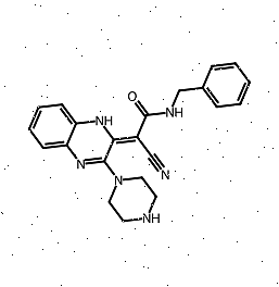 N#CC(C(=O)NCc1ccccc1)=C1Nc2ccccc2N=C1N1CCNCC1